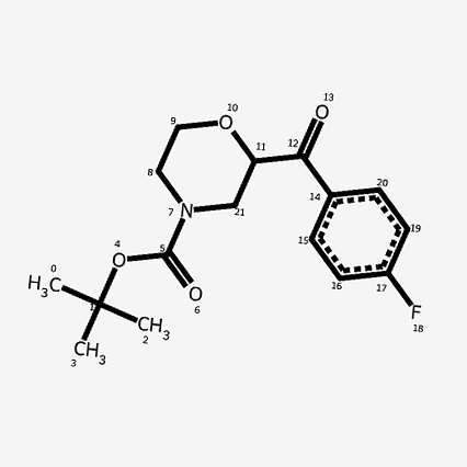 CC(C)(C)OC(=O)N1CCOC(C(=O)c2ccc(F)cc2)C1